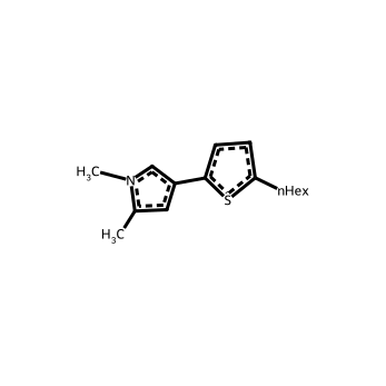 CCCCCCc1ccc(-c2cc(C)n(C)c2)s1